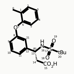 Cc1ccccc1Oc1cccc([C@@H](CC(=O)O)NS(=O)(=O)C(C)(C)C)c1